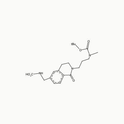 CN(CCCN1CCc2cc(CNC(=O)O)ccc2C1=O)C(=O)OC(C)(C)C